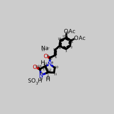 CC(=O)Oc1ccc(C=CC(=O)N2CC[C@@H]3[C@H]2C(=O)N3S(=O)(=O)O)cc1OC(C)=O.[Na]